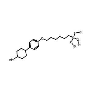 CCCC1CCC(c2ccc(OCCCCCC[Si](OCC)(OCC)OCC)cc2)CC1